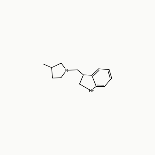 CC1CCN(CC2CNc3ccccc32)C1